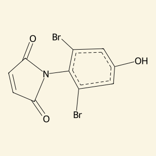 O=C1C=CC(=O)N1c1c(Br)cc(O)cc1Br